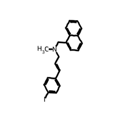 CN(CC=Cc1ccc(I)cc1)Cc1cccc2ccccc12